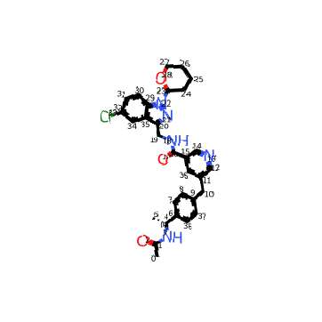 CC(=O)N[C@H](C)c1ccc(Cc2cncc(C(=O)NCc3nn(C4CCCCO4)c4ccc(Cl)cc34)c2)cc1